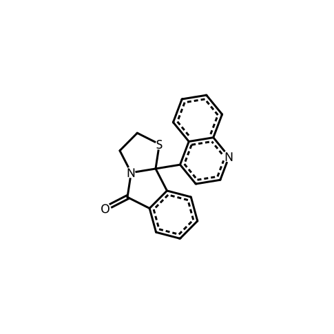 O=C1c2ccccc2C2(c3ccnc4ccccc34)SCCN12